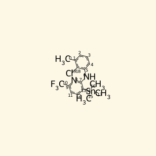 Cc1cccc(Nc2nc(C(F)(F)F)cc[c]2[Sn]([CH3])([CH3])[CH3])c1Cl